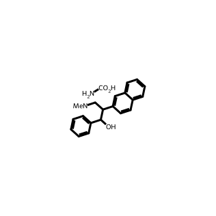 CNCC(c1ccc2ccccc2c1)C(O)c1ccccc1.NC(=O)O